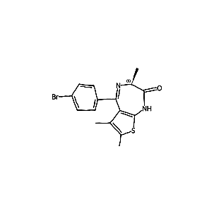 Cc1sc2c(c1C)C(c1ccc(Br)cc1)=N[C@@H](C)C(=O)N2